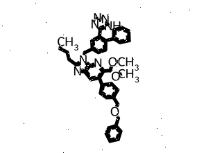 CCCCc1nc2cc(-c3ccc(COCc4ccccc4)cc3)c(C(OC)OC)nc2n1Cc1ccc(-c2ccccc2)c(-c2nnn[nH]2)c1